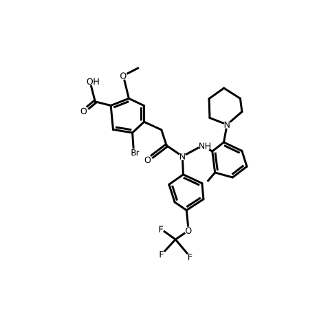 COc1cc(CC(=O)N(Nc2c(C)cccc2N2CCCCC2)c2ccc(OC(F)(F)F)cc2)c(Br)cc1C(=O)O